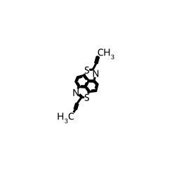 CC#CC1=Nc2ccc3c4c(ccc(c24)S1)N=C(C#CC)S3